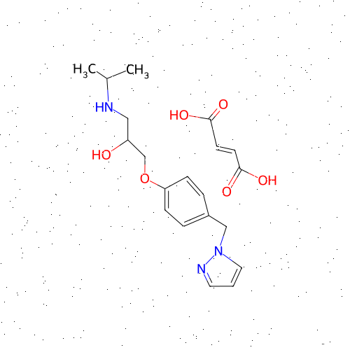 CC(C)NCC(O)COc1ccc(Cn2cccn2)cc1.O=C(O)C=CC(=O)O